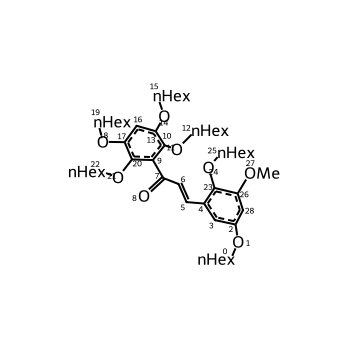 CCCCCCOc1cc(C=CC(=O)c2c(OCCCCCC)c(OCCCCCC)cc(OCCCCCC)c2OCCCCCC)c(OCCCCCC)c(OC)c1